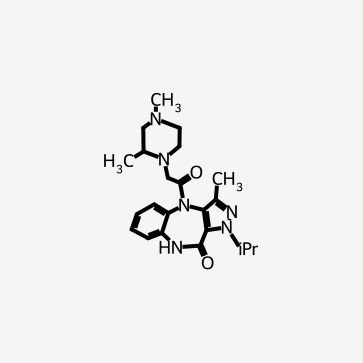 Cc1nn(C(C)C)c2c1N(C(=O)CN1CCN(C)CC1C)c1ccccc1NC2=O